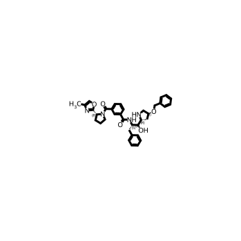 Cc1coc([C@H]2CCCN2C(=O)c2cccc(C(=O)N[C@@H](Cc3ccccc3)[C@H](O)[C@H]3C[C@@H](OCc4ccccc4)CN3)c2)n1